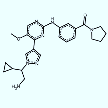 COc1cnc(Nc2cccc(C(=O)N3CCCC3)c2)nc1-c1cnn(C(CN)C2CC2)c1